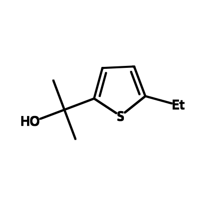 CCc1ccc(C(C)(C)O)s1